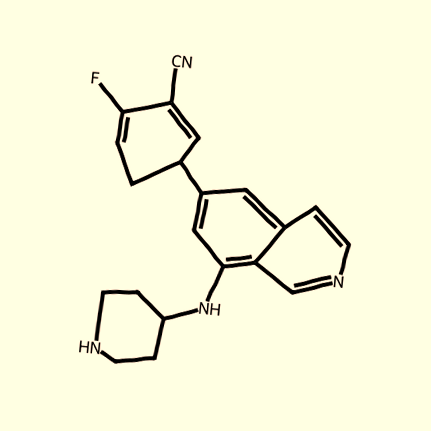 N#CC1=CC(c2cc(NC3CCNCC3)c3cnccc3c2)CC=C1F